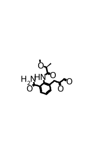 CO[C@@H](C)C(=O)Nc1c(CC(=O)C=O)cccc1C(N)=O